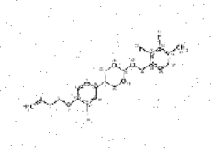 C=CCCOc1ccc(C2COC(OCc3ccc(C)c(F)c3F)OC2)cc1F